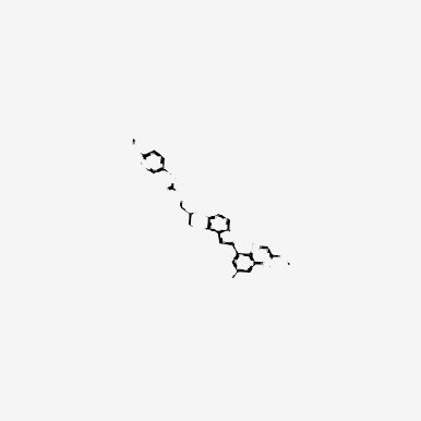 COc1ccc(NC(=O)OCC2COc3c(ccc4oc(-c5cc(C)cc6nc(OC)cnc56)cc34)O2)cn1